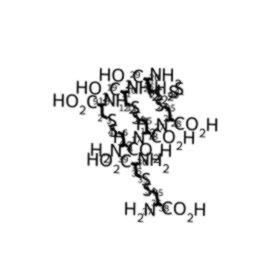 NC(CSSCC(N)C(=O)O)C(=O)O.NC(CSSCC(N)C(=O)O)C(=O)O.NC(CSSCC(N)C(=O)O)C(=O)O.NC(CSSCC(N)C(=O)O)C(=O)O.S.S